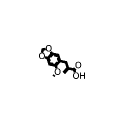 C=C(Cc1cc2c(cc1OC)OCO2)C(=O)O